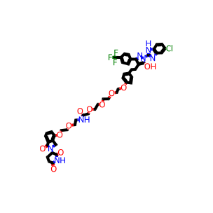 O=C(COCCOCCOCCOc1ccc(CCc2c(-c3ccc(C(F)(F)F)cc3)nn(-c3nc4cc(Cl)ccc4[nH]3)c2O)cc1)NCCOCCOc1cccc2c1CN(C1CCC(=O)NC1=O)C2=O